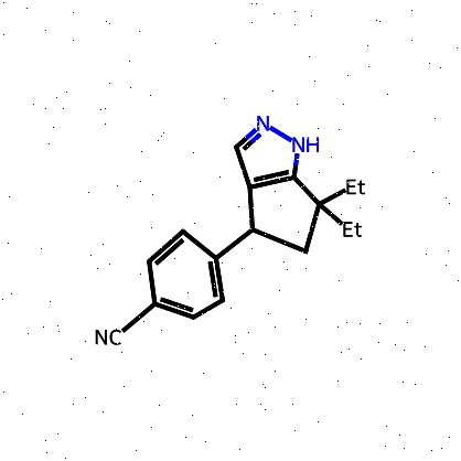 CCC1(CC)CC(c2ccc(C#N)cc2)c2cn[nH]c21